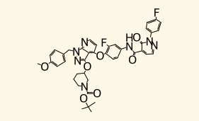 COc1ccc(Cn2nc(OC3CCCN(C(=O)OC(C)(C)C)C3)c3c(Oc4ccc(NC(=O)c5ccnn(-c6ccc(F)cc6)c5=O)cc4F)ccnc32)cc1